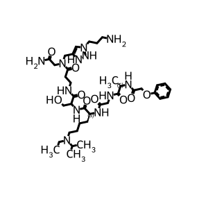 CCN(CCCC[C@H](NC(=O)CNC(=O)[C@H](C)NC(=O)COc1ccccc1)C(=O)NC(CO)C(=O)NCCC(=O)N(CC(N)=O)CC1=CN(CCCN)NN1)C(C)C